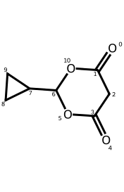 O=C1CC(=O)OC(C2CC2)O1